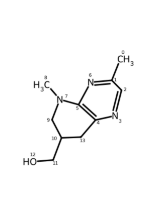 Cc1cnc2c(n1)N(C)CC(CO)C2